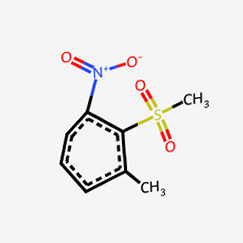 Cc1cccc([N+](=O)[O-])c1S(C)(=O)=O